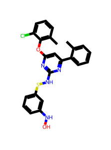 Cc1ccccc1-c1cc(Oc2c(C)cccc2Cl)nc(NSc2cccc(NO)c2)n1